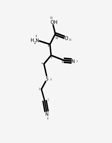 N#CCSCC(C#N)C(N)C(=O)O